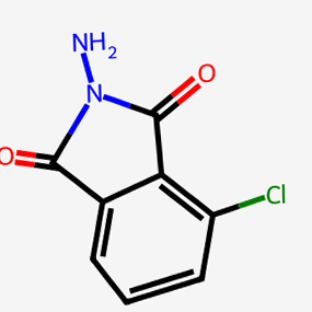 NN1C(=O)c2cccc(Cl)c2C1=O